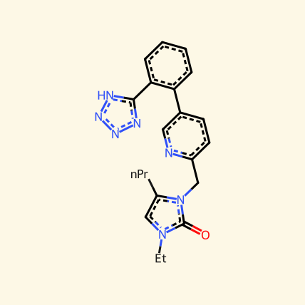 CCCc1cn(CC)c(=O)n1Cc1ccc(-c2ccccc2-c2nnn[nH]2)cn1